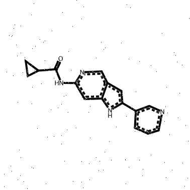 O=C(Nc1cc2[nH]c(-c3cccnc3)cc2cn1)C1CC1